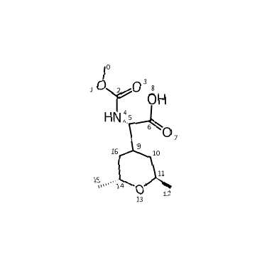 COC(=O)N[C@H](C(=O)O)C1C[C@@H](C)O[C@H](C)C1